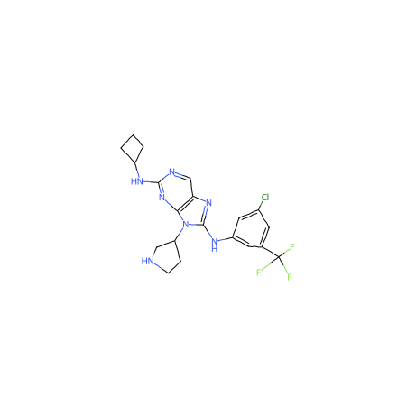 FC(F)(F)c1cc(Cl)cc(Nc2nc3cnc(NC4CCC4)nc3n2C2CCNC2)c1